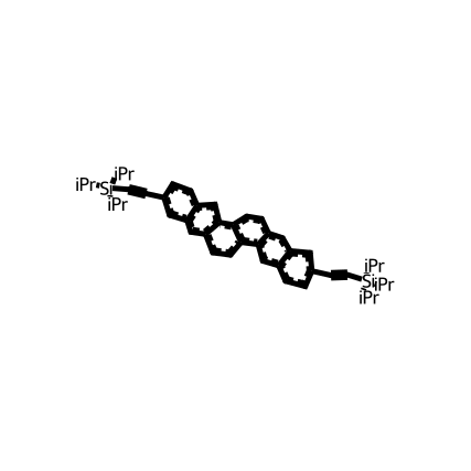 CC(C)[Si](C#Cc1ccc2cc3c(ccc4c5cc6ccc(C#C[Si](C(C)C)(C(C)C)C(C)C)cc6cc5ccc34)cc2c1)(C(C)C)C(C)C